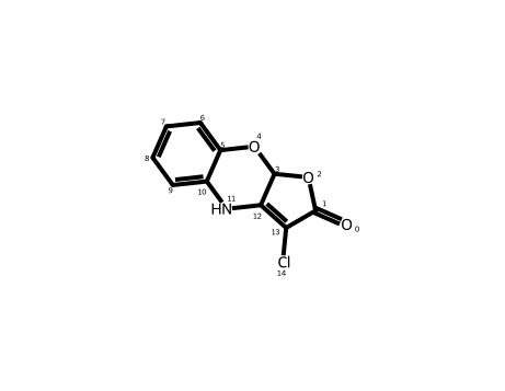 O=C1OC2Oc3ccccc3NC2=C1Cl